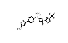 N.Oc1cc(-c2cnc(O[C@H]3C[C@@](F)(c4nc(C(F)(F)F)cs4)C3)cn2)on1